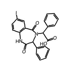 O=C(O)C(c1ccccc1)N1C(=O)c2cc(I)ccc2NC(=O)C1c1ccccc1